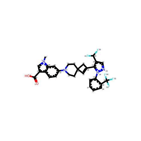 Cn1cc(C(=O)O)c2ccc(N3CCC4(C=C(c5c(C(F)F)cnn5-c5ccccc5C(F)(F)F)C4)CC3)cc21